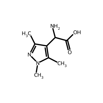 Cc1nn(C)c(C)c1C(N)C(=O)O